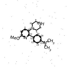 COc1ccc(N2CCNCC2)c(-c2ccc(N(C)C)cc2)n1